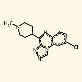 CN1CCC(c2nc3ccc(Cl)cc3n3cnnc23)CC1